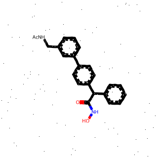 CC(=O)NCc1cccc(-c2ccc(C(C(=O)NO)c3ccccc3)cc2)c1